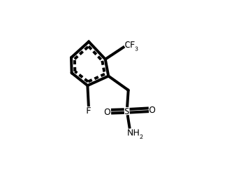 NS(=O)(=O)Cc1c(F)cccc1C(F)(F)F